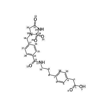 O=C(O)Cc1ccc(CCCNC(=O)c2ccc(CN3CC(=O)NS3(=O)=O)cc2)cc1